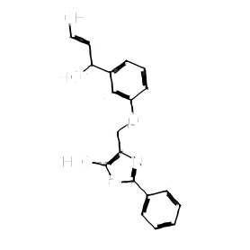 CC=CC(O)c1cccc(OCc2nc(-c3ccccc3)oc2C)c1